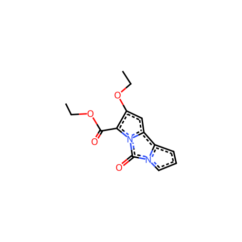 CCOC(=O)c1c(OCC)cc2c3cccn3c(=O)n12